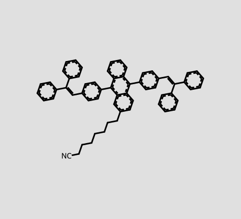 N#CCCCCCCCc1ccc2c(-c3ccc(C=C(c4ccccc4)c4ccccc4)cc3)c3ccccc3c(-c3ccc(C=C(c4ccccc4)c4ccccc4)cc3)c2c1